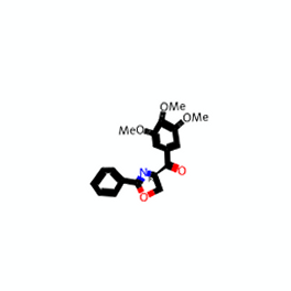 COc1cc(C(=O)[C@H]2COC(c3ccccc3)=N2)cc(OC)c1OC